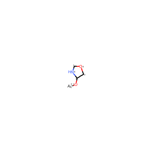 CC(=O)OC1COCN1